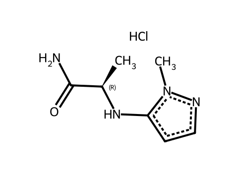 C[C@@H](Nc1ccnn1C)C(N)=O.Cl